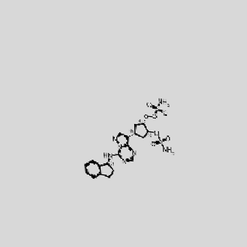 NS(=O)(=O)OO[C@H]1C[C@@H](c2cnn3c(N[C@H]4CCc5ccccc54)ncnc23)C[C@@H]1OS(N)(=O)=O